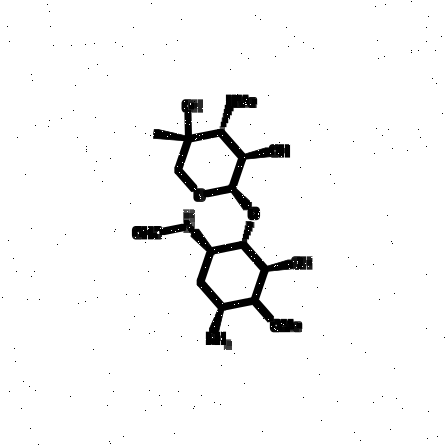 CN[C@@H]1[C@@H](O)[C@@H](O[C@H]2[C@H](NC=O)C[C@H](N)C(OC)[C@@H]2O)OC[C@]1(C)O